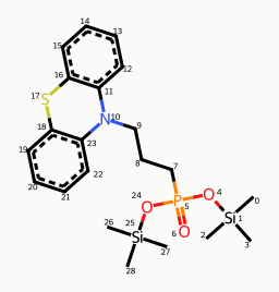 C[Si](C)(C)OP(=O)(CCCN1c2ccccc2Sc2ccccc21)O[Si](C)(C)C